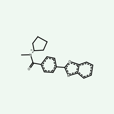 CN(C(=O)c1ccc(-c2nc3ccccc3o2)cc1)[C@@H]1C[CH]CC1